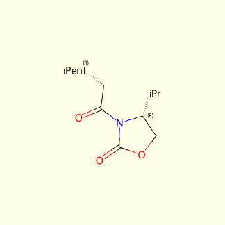 CCC[C@@H](C)CC(=O)N1C(=O)OC[C@H]1C(C)C